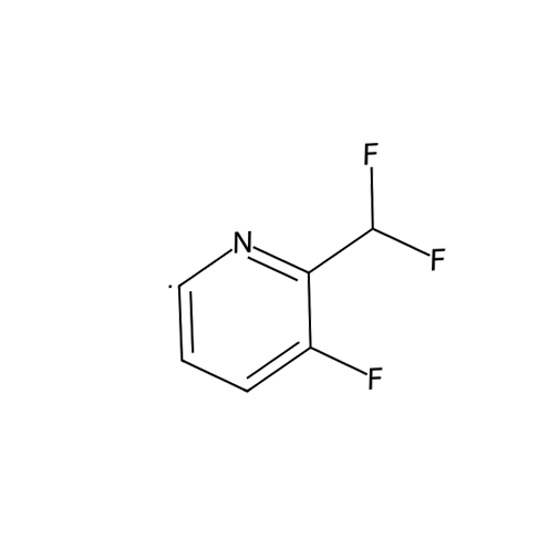 Fc1cc[c]nc1C(F)F